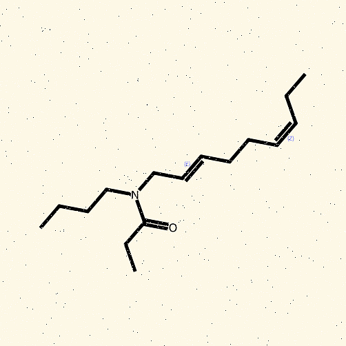 CC/C=C\CC/C=C/CN(CCCC)C(=O)CC